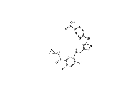 O=C(O)c1ccc(Nc2ncc(CNc3cc(C(=O)NC4CC4)c(F)cc3F)s2)nc1